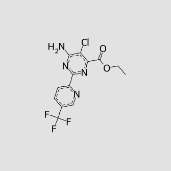 CCOC(=O)c1nc(-c2ccc(C(F)(F)F)cn2)nc(N)c1Cl